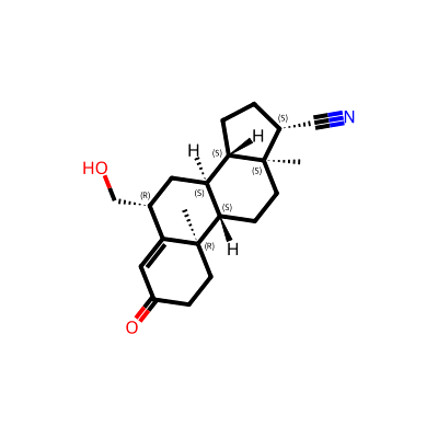 C[C@]12CC[C@H]3[C@@H](C[C@@H](CO)C4=CC(=O)CC[C@@]43C)[C@@H]1CC[C@@H]2C#N